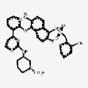 Cc1ccc2c(NS(=O)(=O)Cc3ccccc3C#N)c(F)ccc2c1Oc1ncccc1-c1ccnc(NC2CCCN(C(=O)O)C2)n1